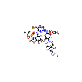 COc1cc(N2CCC3(CC2)CN(C)C3)c(C)cc1Nc1ncc(Br)c(Nc2cccc3c2N(S(C)(=O)=O)CC3)n1